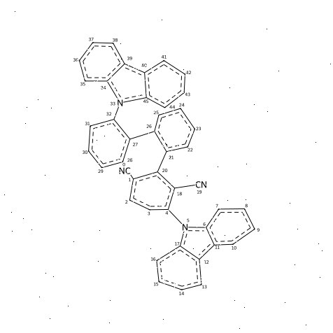 N#Cc1ccc(-n2c3ccccc3c3ccccc32)c(C#N)c1-c1ccccc1-c1ccccc1-n1c2ccccc2c2ccccc21